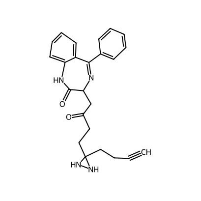 C#CCCC1(CCC(=O)CC2N=C(c3ccccc3)c3ccccc3NC2=O)NN1